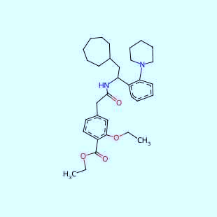 CCOC(=O)c1ccc(CC(=O)NC(CC2CCCCCC2)c2ccccc2N2CCCCC2)cc1OCC